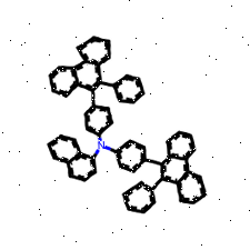 c1ccc(-c2c(-c3ccc(N(c4ccc(-c5c(-c6ccccc6)c6ccccc6c6ccccc56)cc4)c4cccc5ccccc45)cc3)c3ccccc3c3ccccc23)cc1